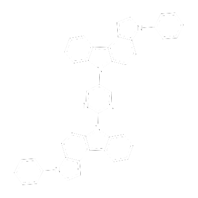 c1ccc(-n2ccc3c4c5ccccc5n(-c5cnc(-n6c7ccccc7c7c8ccn(-c9ccccc9)c8ccc76)nc5)c4ccc32)cc1